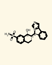 NS(=O)(=O)c1ccc2c(c1)[C@H](O)[C@H]([C@@H]1c3ccccc3-c3cncn31)CC2